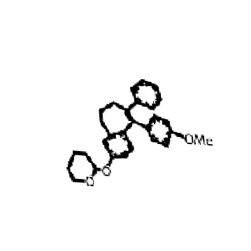 COc1ccc(C2=C(c3ccccc3)CCCc3cc(OC4CCCCO4)ccc32)cc1